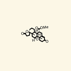 COC(=O)[C@@H]1CC2=CC(=O)CC[C@]2(C)[C@@]23O[C@@H]2C[C@@]2(C)[C@@H](CCC[C@@]24CCC(=O)O4)[C@H]13